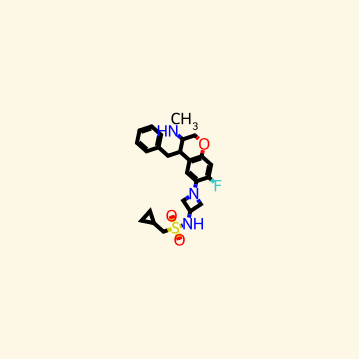 CNC1COc2cc(F)c(N3CC(NS(=O)(=O)CC4CC4)C3)cc2C1Cc1ccccc1